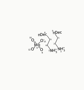 CCCCCCCCCCCC[NH3+].CCCCCCCCCCCC[NH3+].[O]=[Mo](=[O])([O-])[O-]